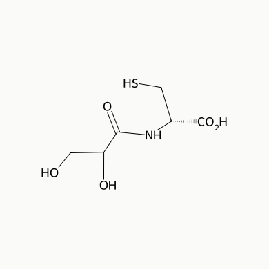 O=C(N[C@H](CS)C(=O)O)C(O)CO